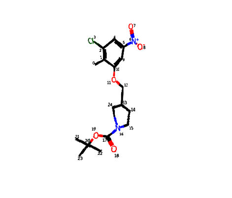 Cc1c(Cl)cc([N+](=O)[O-])cc1OCC1CCN(C(=O)OC(C)(C)C)C1